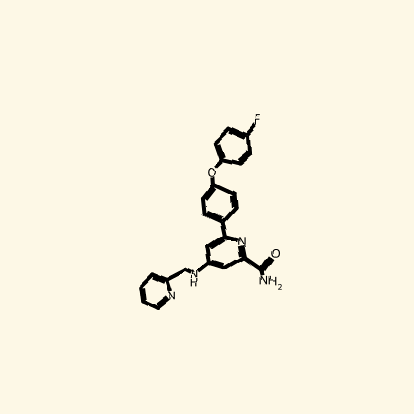 NC(=O)c1cc(NCc2ccccn2)cc(-c2ccc(Oc3ccc(F)cc3)cc2)n1